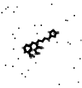 CC(C)(C)OC(=O)N(CCCOC1CCNC1)Cc1cccc([N+](=O)[O-])c1